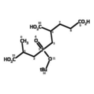 CC(CP(=O)(CC(CCC(=O)O)C(=O)O)OC(C)(C)C)C(=O)O